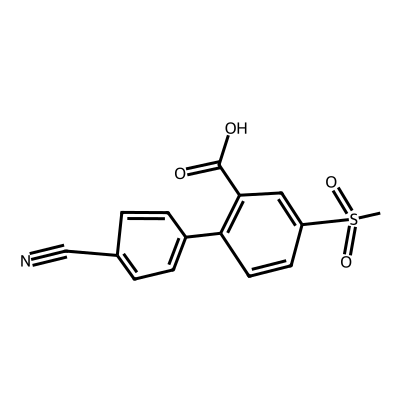 CS(=O)(=O)c1ccc(-c2ccc(C#N)cc2)c(C(=O)O)c1